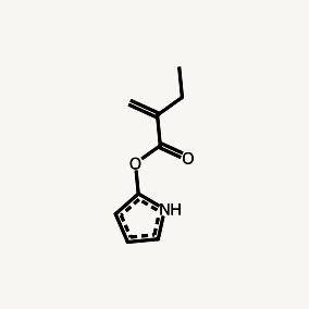 C=C(CC)C(=O)Oc1ccc[nH]1